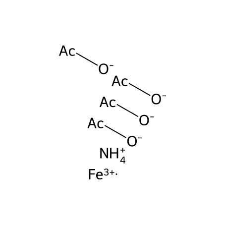 CC(=O)[O-].CC(=O)[O-].CC(=O)[O-].CC(=O)[O-].[Fe+3].[NH4+]